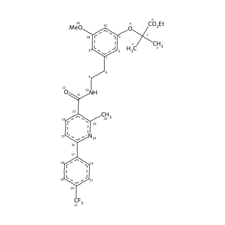 CCOC(=O)C(C)(C)Oc1cc(CCNC(=O)c2ccc(-c3ccc(C(F)(F)F)cc3)nc2C)cc(OC)c1